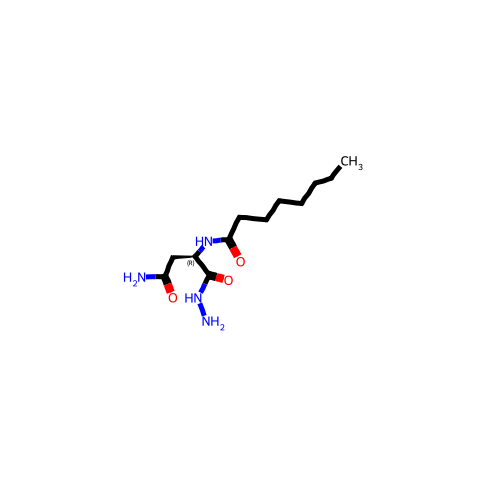 CCCCCCCC(=O)N[C@H](CC(N)=O)C(=O)NN